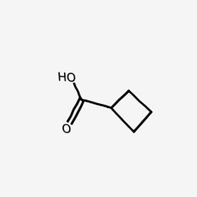 O=C(O)[C]1CCC1